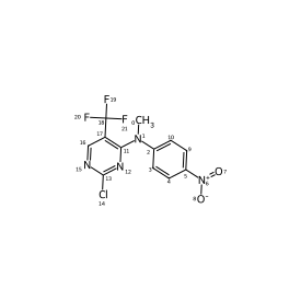 CN(c1ccc([N+](=O)[O-])cc1)c1nc(Cl)ncc1C(F)(F)F